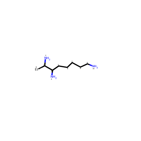 CCC(N)C(N)CCCCCN